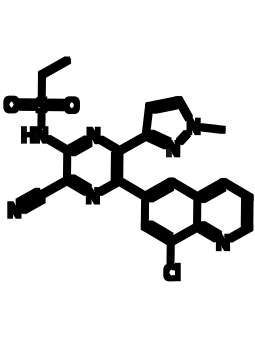 CCS(=O)(=O)Nc1nc(-c2ccn(C)n2)c(-c2cc(Cl)c3ncccc3c2)nc1C#N